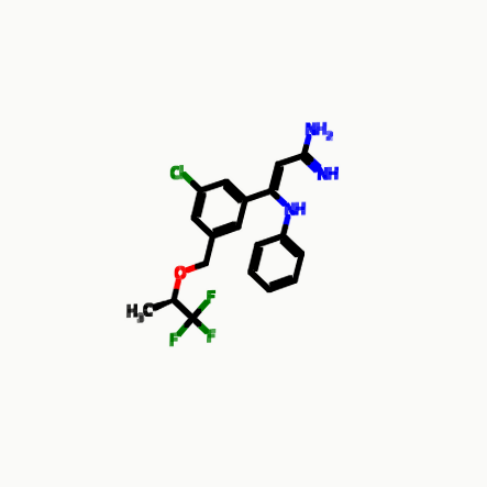 C[C@@H](OCc1cc(Cl)cc(/C(=C/C(=N)N)Nc2ccccc2)c1)C(F)(F)F